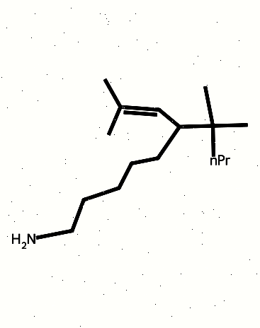 CCCC(C)(C)C(C=C(C)C)CCCCCN